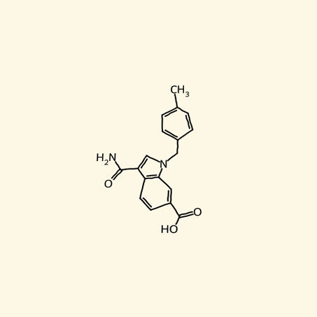 Cc1ccc(Cn2cc(C(N)=O)c3ccc(C(=O)O)cc32)cc1